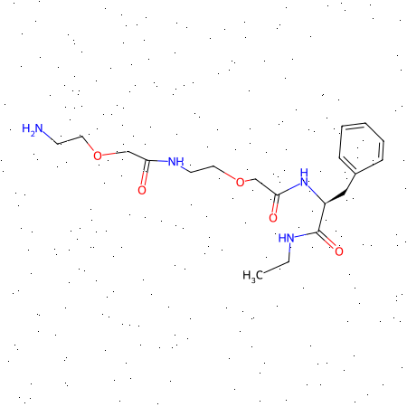 CCNC(=O)[C@H](Cc1ccccc1)NC(=O)COCCNC(=O)COCCN